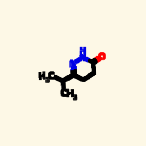 CC(C)C1=NNC(=O)CC1